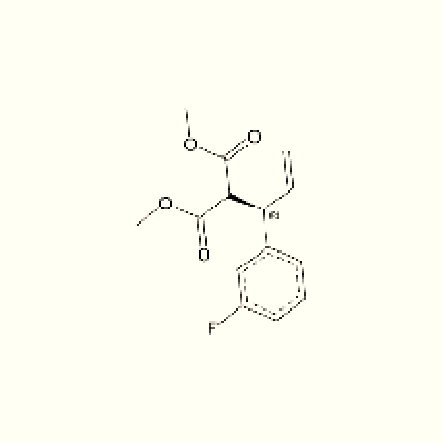 C=C[C@@H](c1cccc(F)c1)C(C(=O)OC)C(=O)OC